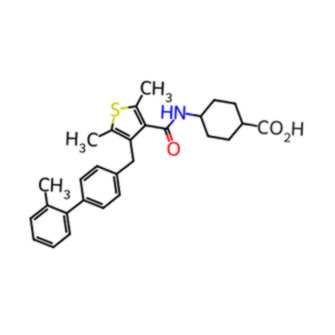 Cc1ccccc1-c1ccc(Cc2c(C)sc(C)c2C(=O)NC2CCC(C(=O)O)CC2)cc1